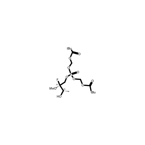 CO[C@](F)(COP(=O)(OCOC(=O)C(C)(C)C)OCOC(=O)C(C)(C)C)[C@H](C)O